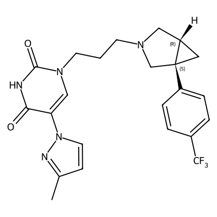 Cc1ccn(-c2cn(CCCN3C[C@@H]4C[C@]4(c4ccc(C(F)(F)F)cc4)C3)c(=O)[nH]c2=O)n1